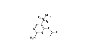 Nc1ncc(S(N)(=O)=O)c(OC(F)F)n1